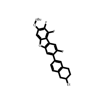 CCCCOc1cc2oc3cc(-c4ccc5c(c4)CCC(CC)C5)c(F)cc3c2c(F)c1F